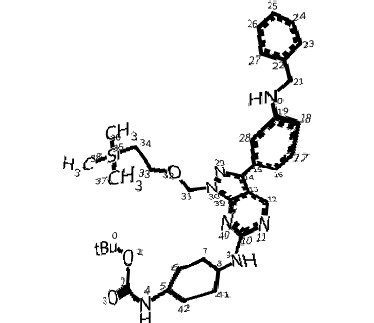 CC(C)(C)OC(=O)NC1CCC(Nc2ncc3c(-c4cccc(NCc5ccccc5)c4)nn(COCC[Si](C)(C)C)c3n2)CC1